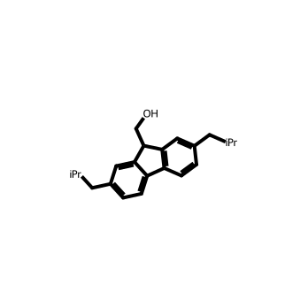 CC(C)Cc1ccc2c(c1)C(CO)c1cc(CC(C)C)ccc1-2